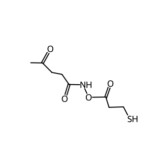 CC(=O)CCC(=O)NOC(=O)CCS